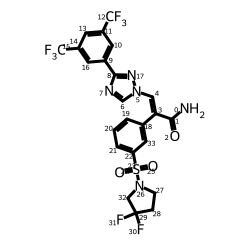 NC(=O)/C(=C/n1cnc(-c2cc(C(F)(F)F)cc(C(F)(F)F)c2)n1)c1cccc(S(=O)(=O)N2CCC(F)(F)C2)c1